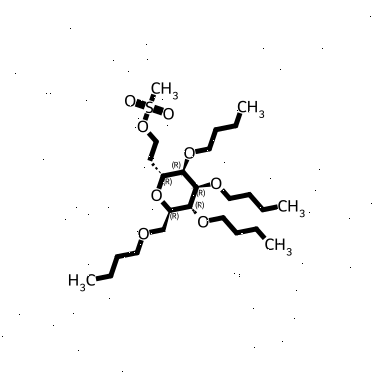 CCCCOC[C@H]1O[C@H](CCOS(C)(=O)=O)[C@@H](OCCCC)[C@@H](OCCCC)[C@@H]1OCCCC